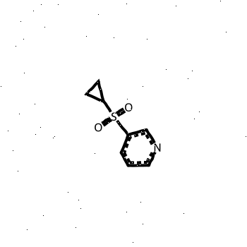 O=S(=O)(c1cccnc1)C1CC1